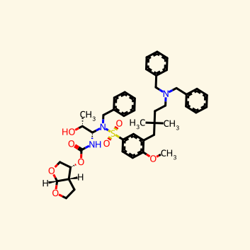 COc1ccc(S(=O)(=O)N(Cc2ccccc2)[C@H](NC(=O)O[C@H]2CO[C@H]3OCC[C@H]32)[C@@H](C)O)cc1CC(C)(C)CCN(Cc1ccccc1)Cc1ccccc1